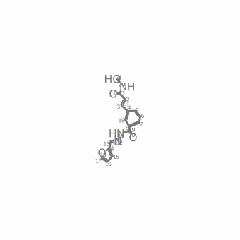 O=C(/C=C/c1cccc(C(=O)N/N=C/c2ccco2)c1)NO